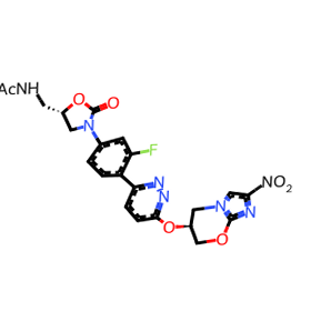 CC(=O)NC[C@H]1CN(c2ccc(-c3ccc(O[C@@H]4COc5nc([N+](=O)[O-])cn5C4)nn3)c(F)c2)C(=O)O1